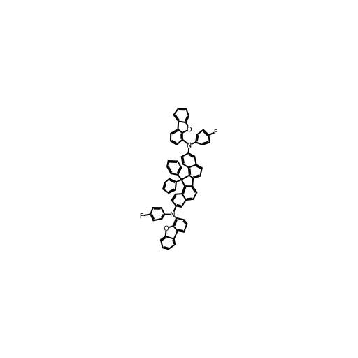 Fc1ccc(N(c2ccc3c4c(ccc3c2)-c2ccc3cc(N(c5ccc(F)cc5)c5cccc6c5oc5ccccc56)ccc3c2C4(c2ccccc2)c2ccccc2)c2cccc3c2oc2ccccc23)cc1